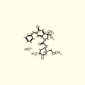 COC[C@H]1CN[C@H](C)CN1CC(=O)N1CC(C)(C)c2cc(=O)n(Cc3ccccc3)cc21.Cl